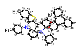 CCc1ccc(N2c3cccc4c3B(c3cc(CC)ccc3N4c3ccccc3-c3ccc4c5ccccc5c5ccccc5c4c3)c3sc4ccc(CC)cc4c32)cc1